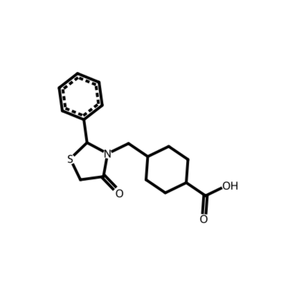 O=C(O)C1CCC(CN2C(=O)CSC2c2ccccc2)CC1